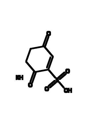 O=C1C=C(S(=O)(=O)O)C(=O)CC1.[KH]